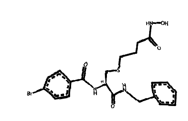 O=C(CCCSC[C@H](NC(=O)c1ccc(Br)cc1)C(=O)NCc1ccccc1)NO